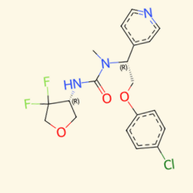 CN(C(=O)N[C@@H]1COCC1(F)F)[C@@H](COc1ccc(Cl)cc1)c1ccncc1